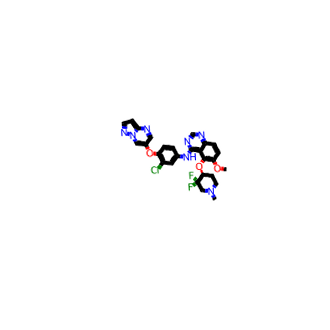 COc1ccc2ncnc(Nc3ccc(Oc4cnc5ccnn5c4)c(Cl)c3)c2c1O[C@H]1CCN(C)CC1(F)F